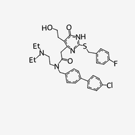 CCN(CC)CCN(Cc1ccc(-c2ccc(Cl)cc2)cc1)C(=O)Cc1nc(SCc2ccc(F)cc2)[nH]c(=O)c1CCO